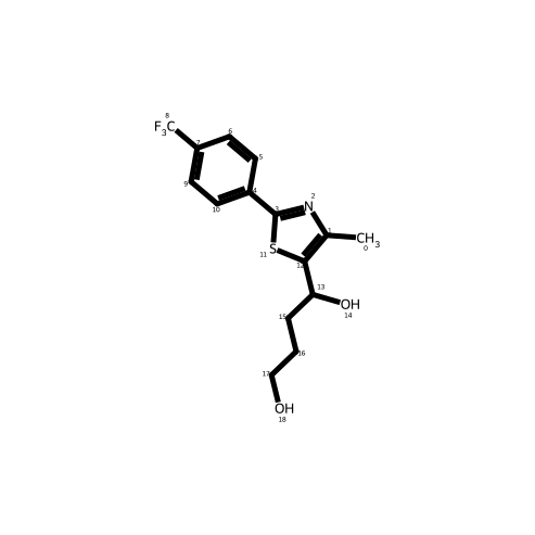 Cc1nc(-c2ccc(C(F)(F)F)cc2)sc1C(O)CCCO